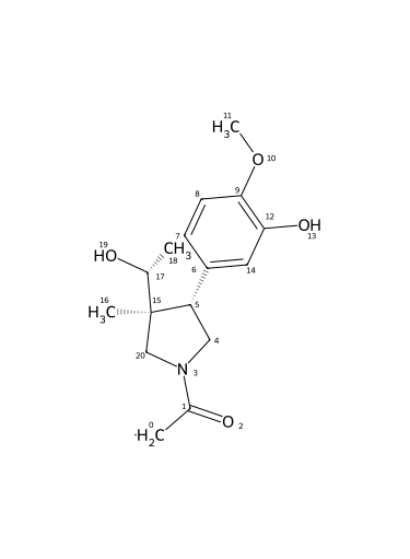 [CH2]C(=O)N1C[C@@H](c2ccc(OC)c(O)c2)[C@](C)([C@@H](C)O)C1